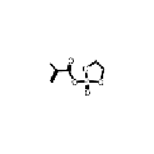 C=C(C)C(=O)OP1(=O)OCCO1